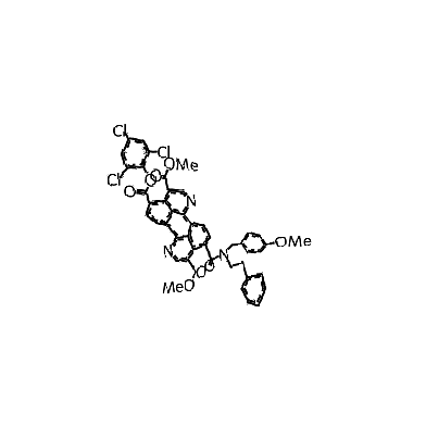 COC(=O)c1cnc2c3ccc(C(=O)N(CCc4ccccc4)Cc4ccc(OC)cc4)c4c(C(=O)OC)cnc(c5ccc(C(=O)Oc6c(Cl)cc(Cl)cc6Cl)c1c52)c43